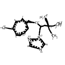 CC(C)(O)C(Oc1ccc(Cl)cc1)n1cncn1